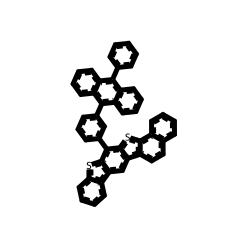 c1ccc(-c2c3ccccc3c(-c3cccc(-c4c5sc6ccccc6c5cc5c4sc4c6ccccc6ccc54)c3)c3ccccc23)cc1